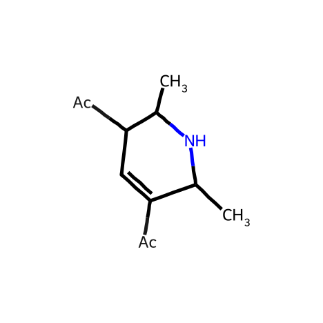 CC(=O)C1=CC(C(C)=O)C(C)NC1C